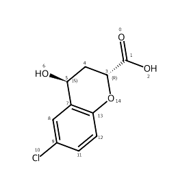 O=C(O)[C@H]1C[C@H](O)c2cc(Cl)ccc2O1